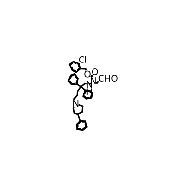 O=CCN(NCC(CCCN1CCC(c2ccccc2)CC1)(c1ccccc1)c1ccccc1)C(=O)OCc1ccccc1Cl